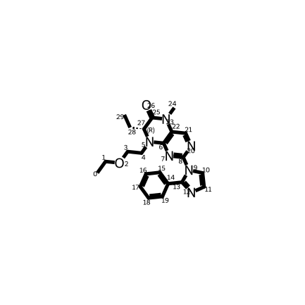 CCOCCN1c2nc(-n3ccnc3-c3ccccc3)ncc2N(C)C(=O)[C@H]1CC